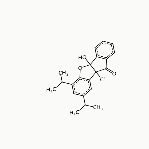 CC(C)c1cc(C(C)C)c2c(c1)C1(Cl)C(=O)c3ccccc3C1(O)O2